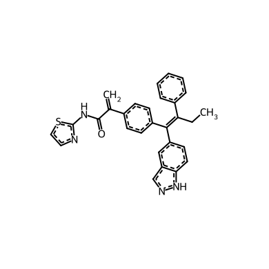 C=C(C(=O)Nc1nccs1)c1ccc(/C(=C(/CC)c2ccccc2)c2ccc3[nH]ncc3c2)cc1